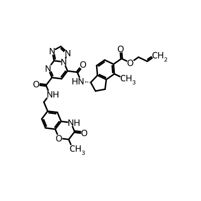 C=CCOC(=O)c1ccc2c(c1C)CC[C@@H]2NC(=O)c1cc(C(=O)NCc2ccc3c(c2)NC(=O)C(C)O3)nc2ncnn12